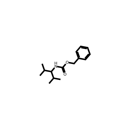 CC(C)C(NC(=O)OCc1ccccc1)C(C)C